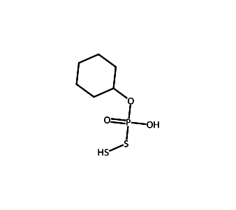 O=P(O)(OC1CCCCC1)SS